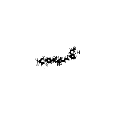 C=C1/C(=C\C=C(/C)Oc2ccnc3c2CCC(=O)N3)O[C@@H]2[C@@H](NC(=O)c3ccc(N4CCC(N(C)C)CC4)c(C(F)(F)F)c3)[C@H]12